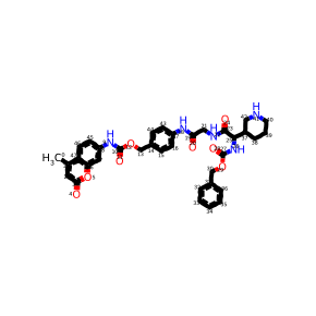 Cc1cc(=O)oc2cc(NC(=O)OCc3ccc(NC(=O)CNC(=O)C(NC(=O)OCc4ccccc4)C4CCCNC4)cc3)ccc12